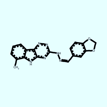 Cc1cccc2c1[nH]c1nc(N/N=C\c3ccc4c(c3)OCO4)nnc12